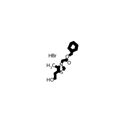 Br.CC1=C(CCO)SCN1CC(=O)OCc1ccccc1